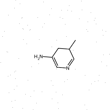 CC1C=NC=C(N)C1